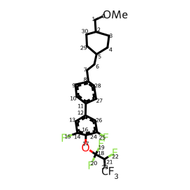 COCC1CCC(CCc2ccc(-c3cc(F)c(OC(F)(F)C(F)C(F)(F)F)c(F)c3)cc2)CC1